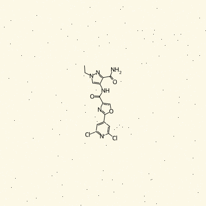 CCn1cc(NC(=O)c2coc(-c3cc(Cl)nc(Cl)c3)n2)c(C(N)=O)n1